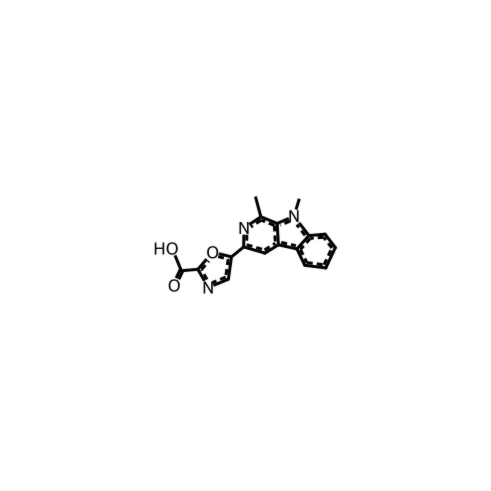 Cc1nc(-c2cnc(C(=O)O)o2)cc2c3ccccc3n(C)c12